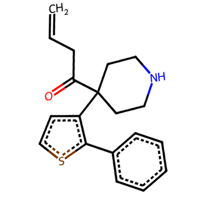 C=CCC(=O)C1(c2ccsc2-c2ccccc2)CCNCC1